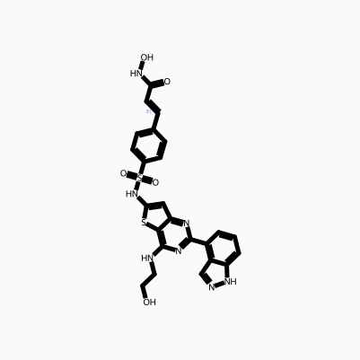 O=C(/C=C/c1ccc(S(=O)(=O)Nc2cc3nc(-c4cccc5[nH]ncc45)nc(NCCO)c3s2)cc1)NO